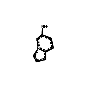 [NH]c1ccc2cccn2c1